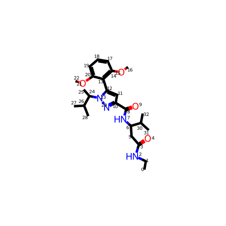 CCNC(=O)CC(NC(=O)c1cc(-c2c(OC)cccc2OC)n(C(C)C(C)C)n1)C(C)C